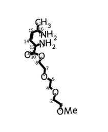 COCCOCCOCCOC(=O)C(N)/C=C\C(C)N